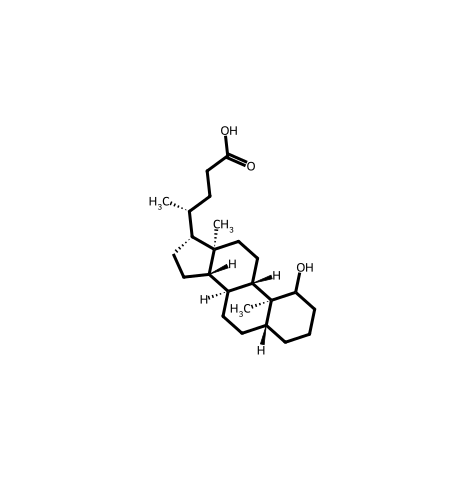 C[C@H](CCC(=O)O)[C@H]1CC[C@H]2[C@@H]3CC[C@H]4CCCC(O)[C@]4(C)[C@H]3CC[C@]12C